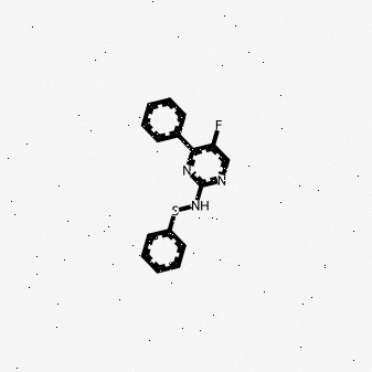 Fc1cnc(NSc2ccccc2)nc1-c1ccccc1